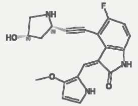 COc1cc[nH]c1C=C1C(=O)Nc2ccc(F)c(C#C[C@@H]3C[C@H](O)CN3)c21